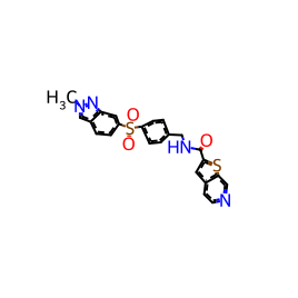 Cn1cc2ccc(S(=O)(=O)c3ccc(CNC(=O)c4cc5ccncc5s4)cc3)cc2n1